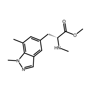 CN[C@H](Cc1cc(C)c2c(cnn2C)c1)C(=O)OC